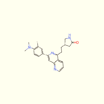 Cc1cc(-c2cc3ncccc3c(CCC3CNC(=O)C3)n2)ccc1N(C)C